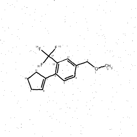 COCc1ccc(C2=CCCC2)c(C(F)(F)F)c1